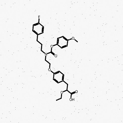 CCOC(Cc1ccc(OCCN(CCCc2ccc(F)cc2)C(=O)Oc2ccc(OC)cc2)cc1)C(=O)O